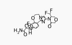 C[C@H](Nc1ccc2c(c1F)OCCn1cc(N3C(=O)COCC3C(F)F)nc1-2)C(N)=O